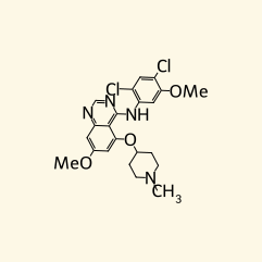 COc1cc(OC2CCN(C)CC2)c2c(Nc3cc(OC)c(Cl)cc3Cl)ncnc2c1